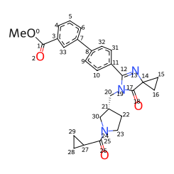 COC(=O)c1cccc(-c2ccc(C3=NC4(CC4)C(=O)N3C[C@@H]3CCN(C(=O)C4CC4)C3)cc2)c1